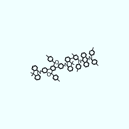 Cc1ccc(C(=O)c2cc(-c3ccc(N4c5ccccc5C(C)(C)c5c(-c6cc(N(c7ccc(C)cc7)c7c8ccccc8c(N(c8ccc(C)cc8)c8ccc(C)cc8)c8ccccc78)ccc6C)cccc54)cc3)c(C(=O)c3ccc(C)cc3)cc2-c2ccc(N3c4ccccc4C(C)(C)c4ccccc43)cc2)cc1